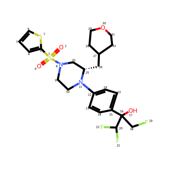 O=S(=O)(c1cccs1)N1CCN(c2ccc(C(O)(CF)C(F)F)cc2)[C@@H](CC2CCOCC2)C1